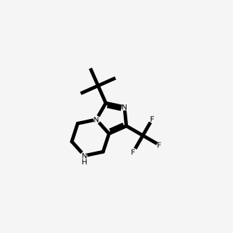 CC(C)(C)c1nc(C(F)(F)F)c2n1CCNC2